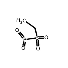 CCS(=O)(=O)P(=O)=O